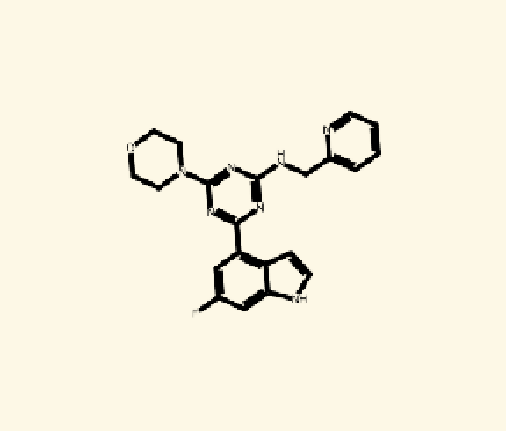 Fc1cc(-c2nc(NCc3ccccn3)nc(N3CCOCC3)n2)c2cc[nH]c2c1